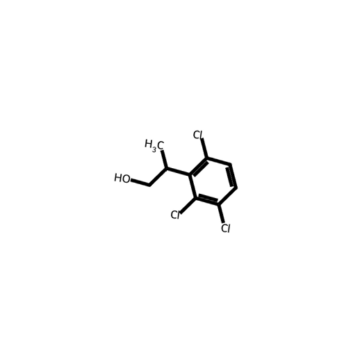 C[C](CO)c1c(Cl)ccc(Cl)c1Cl